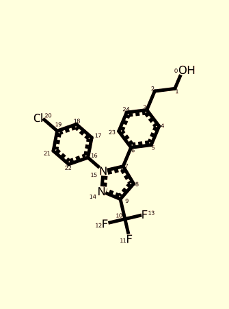 OCCc1ccc(-c2cc(C(F)(F)F)nn2-c2ccc(Cl)cc2)cc1